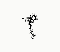 CC(C)(CCCOCC1CO1)C1([SiH3])CCCCO1